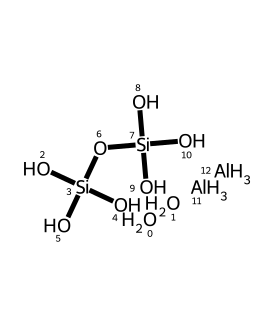 O.O.O[Si](O)(O)O[Si](O)(O)O.[AlH3].[AlH3]